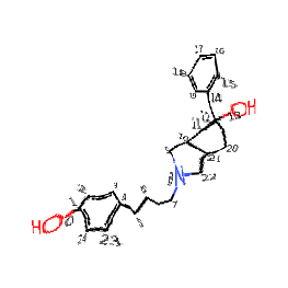 Oc1ccc(CCCN2CC3CC(O)(c4ccccc4)CC3C2)cc1